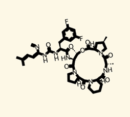 C=N/C(=C\C=C(C)C)NC(=O)N[C@@H](Cc1cc(F)cc(F)c1)C(=O)N[C@@H]1C(=O)N2CCC[C@H]2C(=O)N2CCCC[C@H]2C(=O)N[C@@H](C)C(=O)N2C[C@H](C)C[C@H]2C(=O)O[C@H]1C